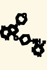 Fc1cncnc1N[C@H]1CC[C@@H](Oc2cc(N3CCOCC3)cc3nccnc23)CC1